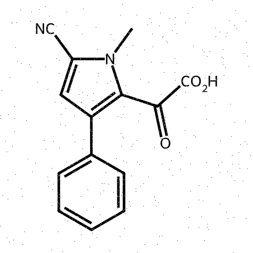 Cn1c(C#N)cc(-c2ccccc2)c1C(=O)C(=O)O